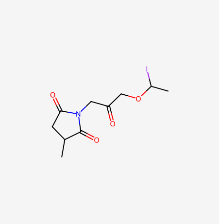 CC(I)OCC(=O)CN1C(=O)CC(C)C1=O